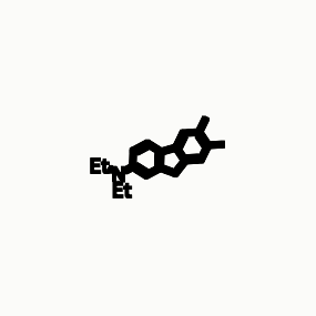 CCN(CC)c1ccc2c(c1)Cc1cc(C)c(C)cc1-2